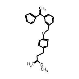 C=C(CCc1ccc(OCc2cccc(C(=C)c3ccccc3)c2)cc1)OC